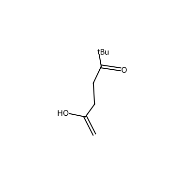 C=C(O)CCC(=O)C(C)(C)C